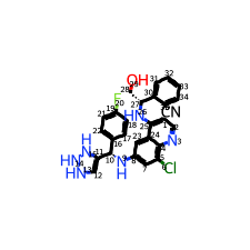 N#Cc1cnc2c(Cl)cc(N[C@H](C3=CNNN3)c3ccc(F)cc3)cc2c1N[C@H](CO)c1ccccc1